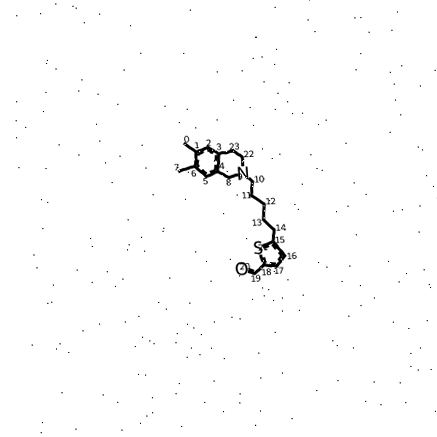 Cc1cc2c(cc1C)CN(CCCCCc1ccc(C=O)s1)CC2